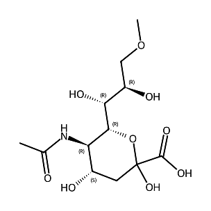 COC[C@@H](O)[C@@H](O)[C@@H]1OC(O)(C(=O)O)C[C@H](O)[C@H]1NC(C)=O